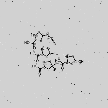 O=C(O)[C@@H]1CC(F)(F)CN1.O=C(O)[C@@H]1CC(F)CN1.O=C(O)[C@@H]1CC(O)CN1.[N-]=[N+]=NC1CN[C@H](C(=O)O)C1